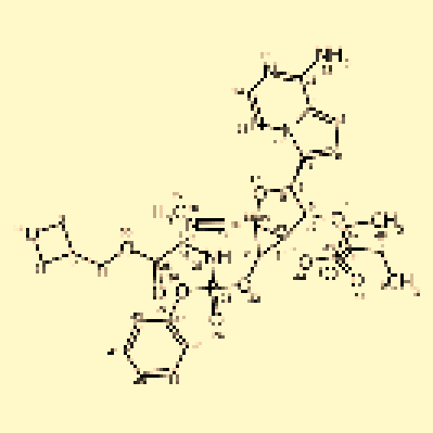 CCC(=O)O[C@H]1[C@H](c2ccc3c(N)ncnn23)O[C@]2(C#N)C(OP(=O)(N[C@@H](C)C(=O)OCC3COC3)Oc3ccccc3)[C@]12OC(=O)CC